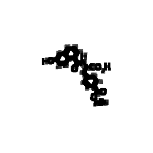 CCCCOC(=O)c1ccc(C[C@H](NC(=O)c2cccc3cc(O)ccc23)C(=O)O)cc1